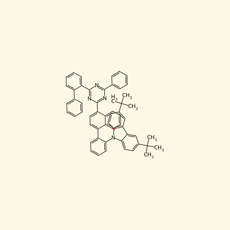 CC(C)(C)c1ccc2c(c1)c1cc(C(C)(C)C)ccc1n2-c1ccccc1-c1ccc(-c2nc(-c3ccccc3)nc(-c3ccccc3-c3ccccc3)n2)c2ccccc12